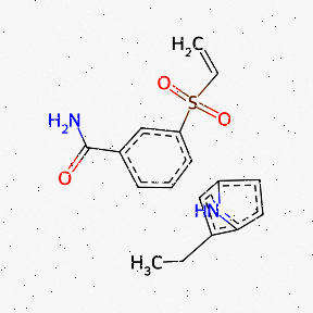 C=CS(=O)(=O)c1cccc(C(N)=O)c1.CCc1cc2ccc1[nH]2